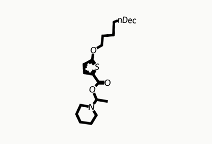 CCCCCCCCCCCCCCOc1ccc(C(=O)OC(C)N2CCCCC2)s1